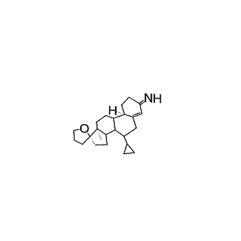 C[C@]12CCC3C(C(C4CC4)CC4=CC(=N)CC[C@@H]43)C1CC[C@@]21CCCO1